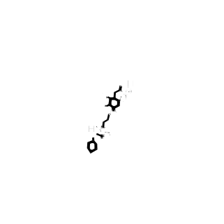 C/C=C(/Cc1ccc(OCCCC(=O)N[C@@H](Cc2ccccc2)C(=O)O)c(Cl)c1Cl)[N+](=O)[O-]